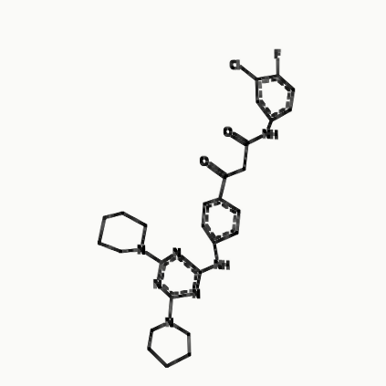 O=C(CC(=O)c1ccc(Nc2nc(N3CCCCC3)nc(N3CCCCC3)n2)cc1)Nc1ccc(F)c(Cl)c1